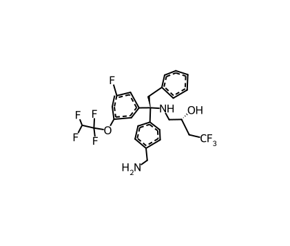 NCc1ccc([C@@](Cc2ccccc2)(NC[C@H](O)CC(F)(F)F)c2cc(F)cc(OC(F)(F)C(F)F)c2)cc1